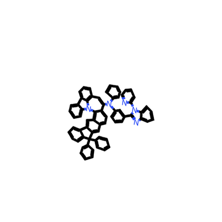 C1=C(N(c2ccccc2)c2cccc(-c3nc4ccccc4n3-c3ccccn3)c2)c2ccc3cc4c(cc3c2-n2c3ccccc3c3cccc1c32)-c1ccccc1C4(c1ccccc1)c1ccccc1